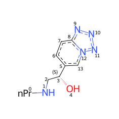 [CH2]CCNC[C@@H](O)c1ccc2nnnn2c1